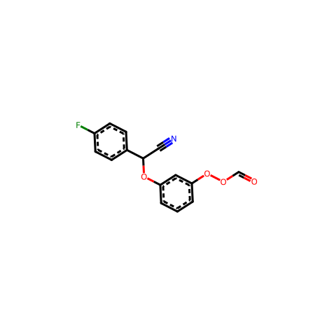 N#CC(Oc1cccc(OOC=O)c1)c1ccc(F)cc1